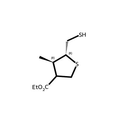 CCOC(=O)C1CS[C@@H](CS)[C@@H]1C